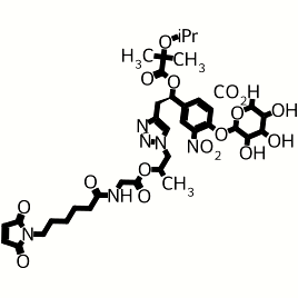 CC(C)OC(C)(C)C(=O)O[C@H](Cc1cn(CC(C)OC(=O)CNC(=O)CCCCCN2C(=O)C=CC2=O)nn1)c1ccc(OC2OC(C(=O)O)C(O)C(O)C2O)c([N+](=O)[O-])c1